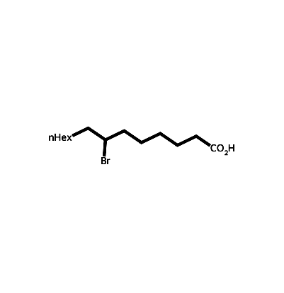 CCCCCCCC(Br)CCCCCC(=O)O